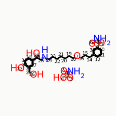 NS(=O)(=O)O.NS(=O)(=O)c1cccc(CCCOCCCCCCCNC[C@H](O)c2ccc(O)c(CO)c2)c1